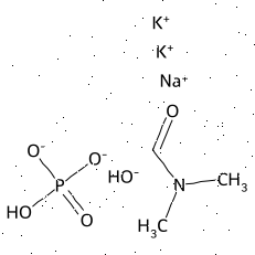 CN(C)C=O.O=P([O-])([O-])O.[K+].[K+].[Na+].[OH-]